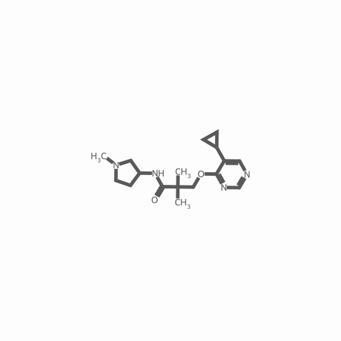 CN1CCC(NC(=O)C(C)(C)COc2ncncc2C2CC2)C1